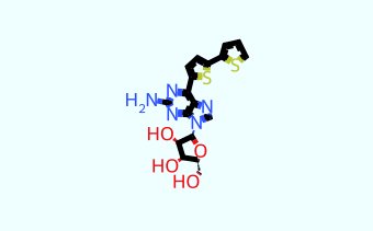 Nc1nc(-c2ccc(-c3cccs3)s2)c2ncn([C@@H]3O[C@H](CO)[C@@H](O)[C@H]3O)c2n1